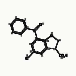 O=C(c1ccccc1)c1cc(Cl)cc2c1OCC2C(=O)O